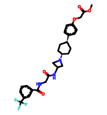 COC(=O)COc1ccc([C@H]2CC[C@@H](N3CC(NC(=O)CNC(=O)c4cccc(C(F)(F)F)c4)C3)CC2)cc1